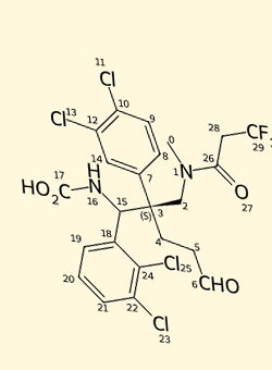 CN(C[C@](CCC=O)(c1ccc(Cl)c(Cl)c1)C(NC(=O)O)c1cccc(Cl)c1Cl)C(=O)CC(F)(F)F